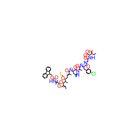 C/C=C(\C)C(OC(=O)C(C)(C)NC(=O)OCC1c2ccccc2-c2ccccc21)C(C)C(C/C=C(\C)C(=O)N(C)C(CC(C)C)C(=O)NC(C)C(=O)N(C)C(Cc1ccc(Cl)cc1)C(=O)N(C)CC(=O)NC(C(=O)O)C(C)CC)OCSC